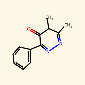 CC1=NN=C(c2[c]cccc2)C(=O)C1C